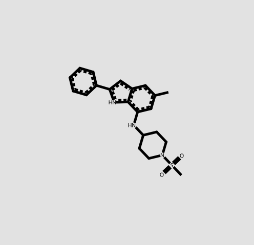 Cc1cc(NC2CCN(S(C)(=O)=O)CC2)c2[nH]c(-c3ccccc3)cc2c1